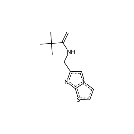 C=C(NCc1cn2ccsc2n1)C(C)(C)C